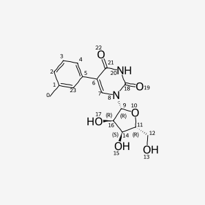 Cc1cccc(-c2cn([C@@H]3O[C@H](CO)[C@@H](O)[C@H]3O)c(=O)[nH]c2=O)c1